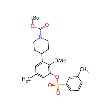 COc1c(OS(=O)(=O)c2cccc(C)c2)cc(C)cc1C1CCN(C(=O)OC(C)(C)C)CC1